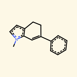 Cn1ccc2c1C=C(c1ccccc1)CC2